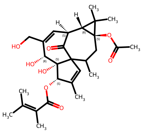 CC(=O)O[C@@]12CC(C)C34C=C(C)[C@H](OC(=O)C(C)=C(C)C)[C@@]3(O)[C@H](O)C(CO)=C[C@H](C4=O)[C@@H]1C2(C)C